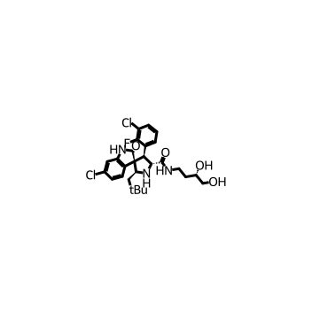 CC(C)(C)C[C@@H]1N[C@@H](C(=O)NCC[C@H](O)CO)[C@H](c2cccc(Cl)c2F)[C@]12C(=O)Nc1cc(Cl)ccc12